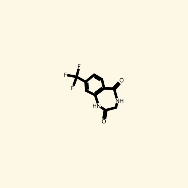 O=C1CNC(=O)c2ccc(C(F)(F)F)cc2N1